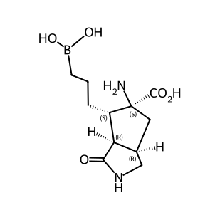 N[C@@]1(C(=O)O)C[C@H]2CNC(=O)[C@H]2[C@@H]1CCCB(O)O